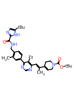 CCc1c(/C=C(\C)C2=CCN(C(=O)OC(C)(C)C)CC2)ncnc1-c1ccc(CNC(=O)c2ncc(C(C)(C)C)[nH]2)c(C)c1